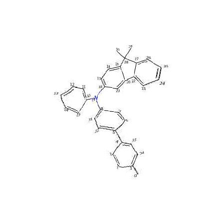 Cc1ccc(-c2ccc(N(c3ccccc3)c3ccc4c(c3)-c3ccccc3C4(C)C)cc2)cc1